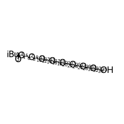 CCC(C)C(=O)OCCCOCCCOCCCOCCCOCCCOCCCOCCCOCCCO